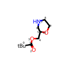 CC(C)(C)C(=O)OCC1CNCCO1